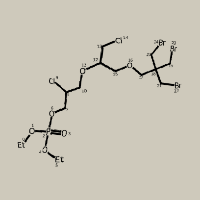 CCOP(=O)(OCC)OCC(Cl)COC(CCl)COCC(CBr)(CBr)CBr